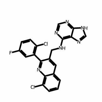 Fc1ccc(Cl)c(-c2nc3c(Cl)cccc3cc2CNc2ncnc3[nH]cnc23)c1